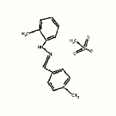 CS(=O)(=O)[O-].Cc1ccccc1NN=Cc1cc[n+](C)cc1